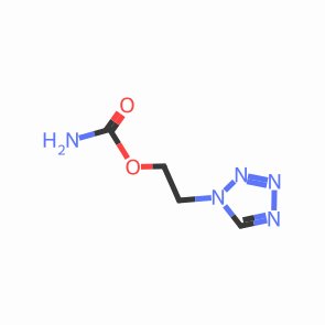 NC(=O)OCCn1cnnn1